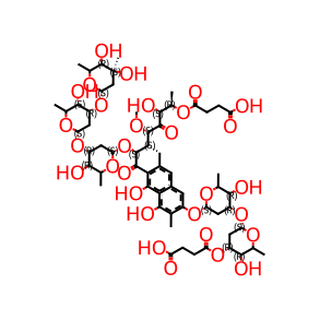 CO[C@H](C(=O)[C@@H](O)[C@@H](C)OC(=O)CCC(=O)O)[C@@H]1Cc2cc3cc(O[C@H]4C[C@@H](O[C@H]5C[C@@H](OC(=O)CCC(=O)O)[C@H](O)C(C)O5)[C@H](O)C(C)O4)c(C)c(O)c3c(O)c2C(=O)[C@H]1O[C@H]1C[C@@H](O[C@H]2C[C@@H](O[C@H]3C[C@](C)(O)[C@H](O)C(C)O3)[C@@H](O)C(C)O2)[C@H](O)C(C)O1